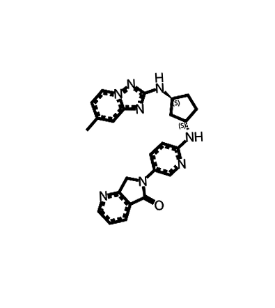 Cc1ccn2nc(N[C@H]3CC[C@H](Nc4ccc(N5Cc6ncccc6C5=O)cn4)C3)nc2c1